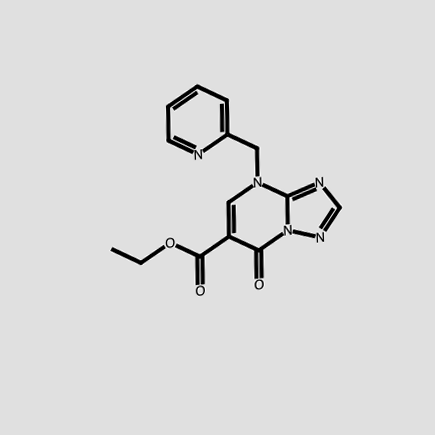 CCOC(=O)c1cn(Cc2ccccn2)c2ncnn2c1=O